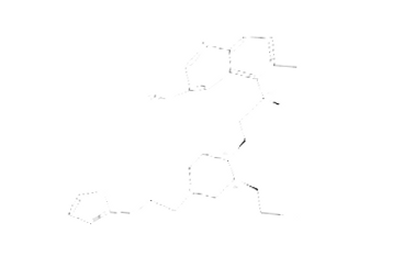 COc1cnc2ccc(F)c([C@@H](O)CC[C@@H]3CCN(CCSc4cccs4)C[C@@H]3CCC(=O)O)c2c1